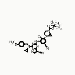 COc1ccc(CN(c2nc(Nc3cc(C#N)cc(N4CCN(C(=O)OC(C)(C)C)C5CC54)c3Cl)nc3c(C#N)cnn23)C2CC2)cc1